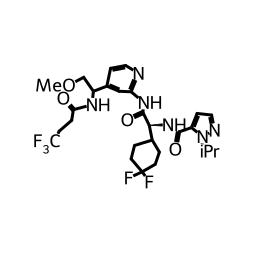 COCC(NC(=O)CCC(F)(F)F)c1ccnc(NC(=O)[C@@H](NC(=O)c2ccnn2C(C)C)C2CCC(F)(F)CC2)c1